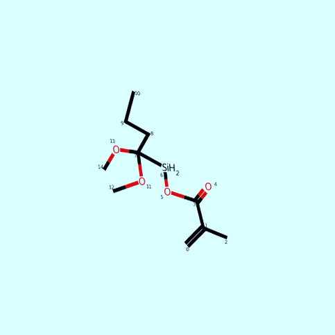 C=C(C)C(=O)O[SiH2]C(CCC)(OC)OC